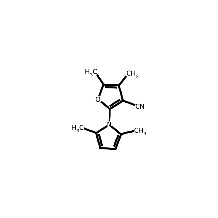 Cc1oc(-n2c(C)ccc2C)c(C#N)c1C